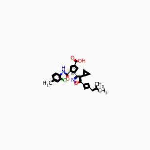 Cc1ccc(NC(=O)[C@H]2C[C@@H](C(=O)O)C[C@@H]2c2noc([C@H]3C[C@@H](CC(C)C)C3)c2C2CC2)c(Cl)c1